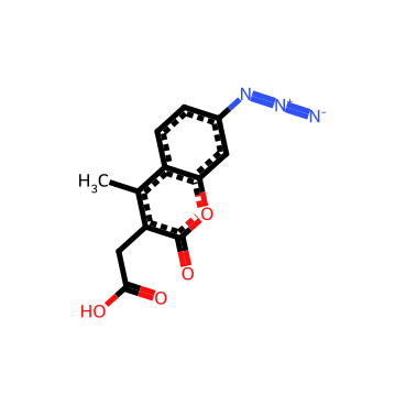 Cc1c(CC(=O)O)c(=O)oc2cc(N=[N+]=[N-])ccc12